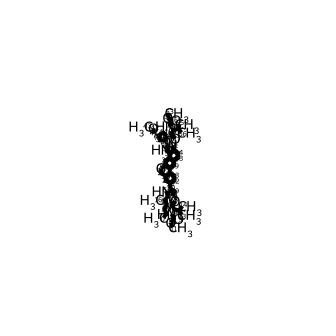 CCCN(C(=O)[C@@H](NC(=O)OC)C(C)C)[C@@H](C)c1ncc(-c2ccc3c(c2)COc2cc4c(ccc5nc([C@@H]6C[C@H](COC)CN6C(=O)[C@@H](NC(=O)OC)C(C)C)[nH]c54)cc2-3)[nH]1